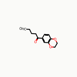 O=CCCCC(=O)c1ccc2c(c1)OCCO2